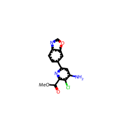 COC(=O)c1nc(-c2ccc3ncoc3c2)cc(N)c1Cl